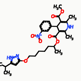 COC(=O)C1=C(C)NC(C)=C(C(=O)OC(C)CCCCCOc2cc(C(C)C)[nH]n2)C1c1cccc([N+](=O)[O-])c1